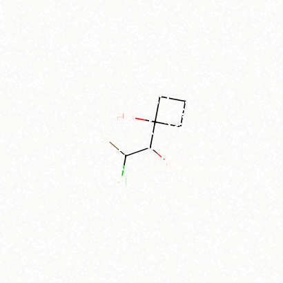 OC(C(Cl)Br)C1(O)CCC1